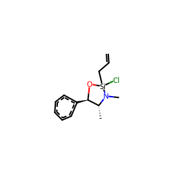 C=CC[Si]1(Cl)O[C@H](c2ccccc2)[C@@H](C)N1C